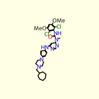 COc1cc(OC)c(Cl)c(NC(=O)N(C)c2cc(Nc3ccc(N4CCN(CC5CCCCCC5)CC4)cc3)ncn2)c1Cl